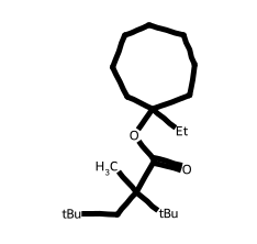 CCC1(OC(=O)C(C)(CC(C)(C)C)C(C)(C)C)CCCCCCC1